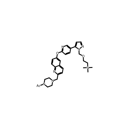 CC(=O)N1CCN(Cc2ccc3cc(Oc4ccc(-c5ccnn5COCC[Si](C)(C)C)cn4)ccc3n2)CC1